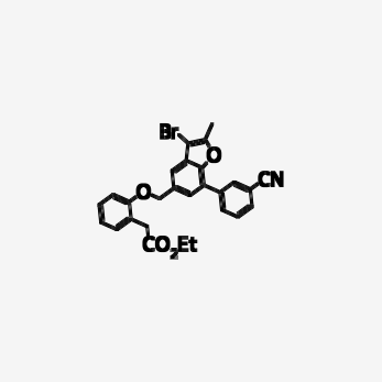 CCOC(=O)Cc1ccccc1OCc1cc(-c2cccc(C#N)c2)c2oc(C)c(Br)c2c1